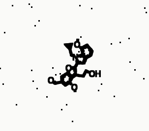 COc1cc(C=O)cc2oc(-c3cc4cccc(OC)c4n3CC3CC3)c(CCO)c12